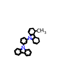 CC1CC=Cc2c1c1c(n2-c2cccc(-n3c4ccccc4c4ccccc43)c2)C=CCC1